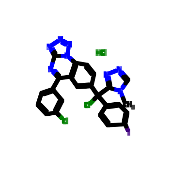 Cl.Cn1cnnc1C(Cl)(c1ccc(I)cc1)c1ccc2c(c1)c(-c1cccc(Cl)c1)nc1nnnn12